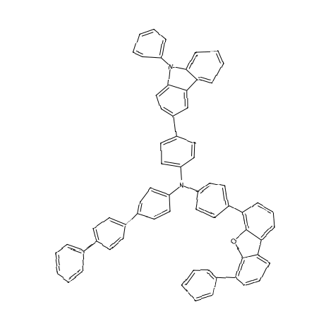 c1ccc(-c2ccc(-c3ccc(N(c4ccc(-c5ccc6c(c5)c5ccccc5n6-c5ccccc5)cc4)c4ccc(-c5cccc6c5oc5c(-c7ccccc7)cccc56)cc4)cc3)cc2)cc1